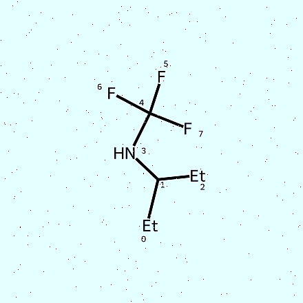 CCC(CC)NC(F)(F)F